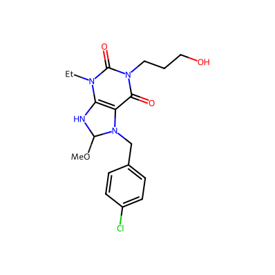 CCn1c2c(c(=O)n(CCCO)c1=O)N(Cc1ccc(Cl)cc1)C(OC)N2